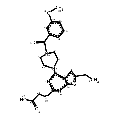 CCc1cc2c(N3CCN(C(=O)c4cccc(OC)c4)CC3)nc(SCC(=O)O)nc2s1